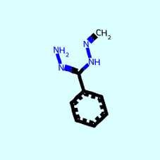 C=NN/C(=N\N)c1ccccc1